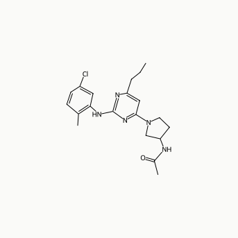 CCCc1cc(N2CCC(NC(C)=O)C2)nc(Nc2cc(Cl)ccc2C)n1